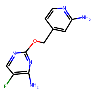 Nc1cc(COc2ncc(F)c(N)n2)ccn1